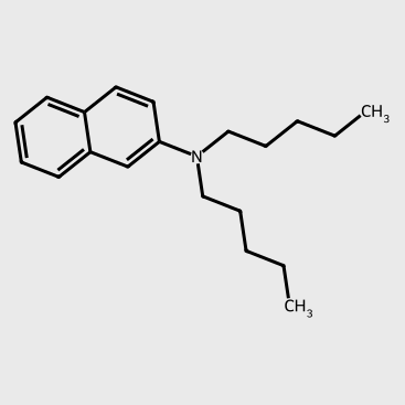 CCCCCN(CCCCC)c1ccc2ccccc2c1